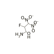 NC(O)C(F)C([N+](=O)[O-])[N+](=O)[O-]